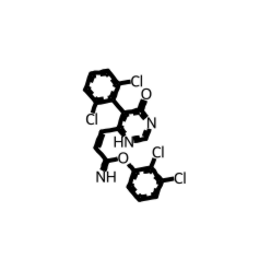 N=C(/C=C\c1[nH]cnc(=O)c1-c1c(Cl)cccc1Cl)Oc1cccc(Cl)c1Cl